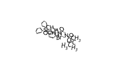 CC(C)(C)OC(=O)N1CCN(Cc2cc(O[Si](c3ccccc3)(c3ccccc3)C(C)(C)C)ccc2Br)C(=O)C1